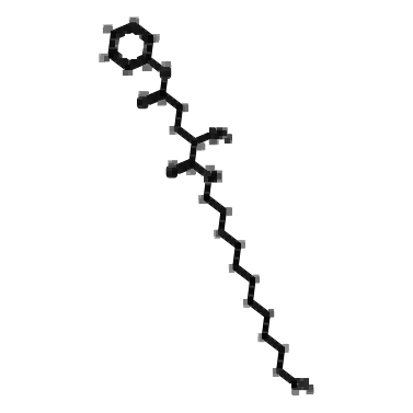 CCCCCCCCCCCCNC(=O)C(N)CCC(=O)Oc1ccccc1